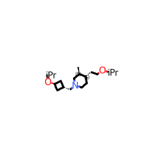 CC(C)OCC[C@@H]1CCN(C[C@H]2C[C@H](OC(C)C)C2)C[C@H]1C